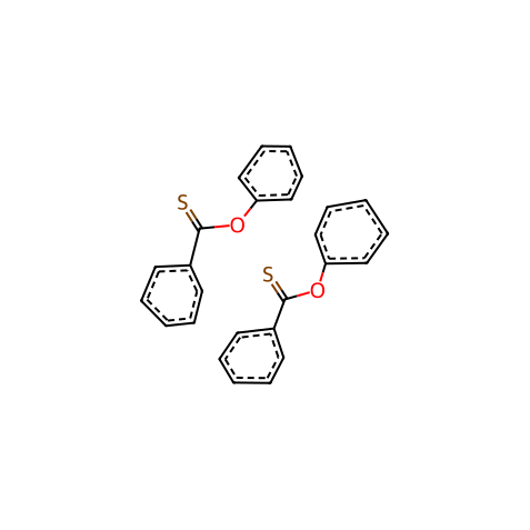 S=C(Oc1ccccc1)c1ccccc1.S=C(Oc1ccccc1)c1ccccc1